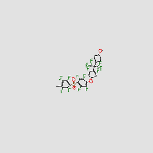 COc1ccc(C(c2ccc(Oc3c(F)c(F)c(S(=O)(=O)c4c(F)c(F)c(C)c(F)c4F)c(F)c3F)cc2)(C(F)(F)F)C(F)(F)F)cc1